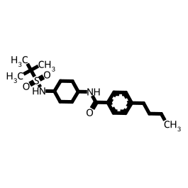 CCCCc1ccc(C(=O)NC2CCC(NS(=O)(=O)C(C)(C)C)CC2)cc1